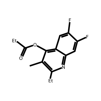 CCC(=O)Oc1c(C)c(CC)nc2cc(F)c(F)cc12